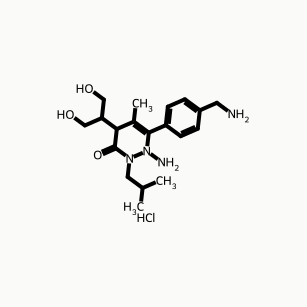 CC1=C(c2ccc(CN)cc2)N(N)N(CC(C)C)C(=O)C1C(CO)CO.Cl